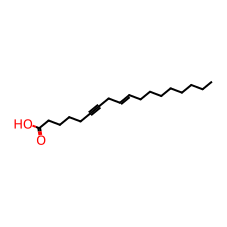 CCCCCCCCC=CCC#CCCCCC(=O)O